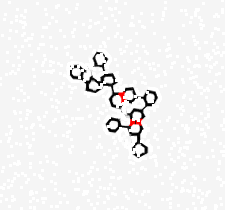 C1=C(c2ccc(-c3ccc(N(c4cccc(-c5ccccc5-c5ccccc5)c4)c4ccccc4-c4cccc5c4oc4ccccc45)cc3)cc2)C(n2c3ccccc3c3ccccc32)=CCC1